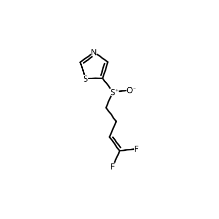 [O-][S+](CCC=C(F)F)c1cncs1